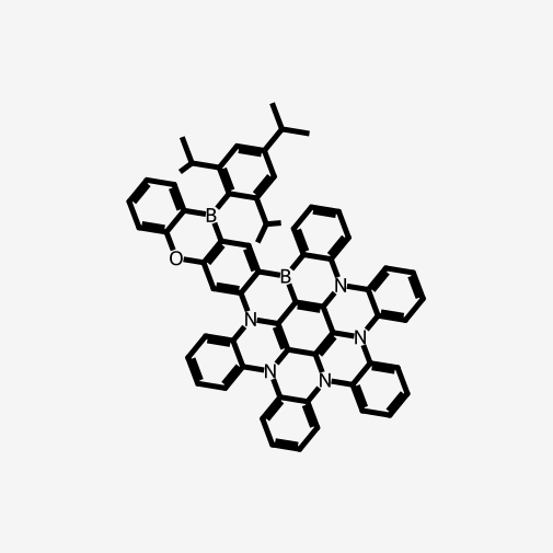 CC(C)c1cc(C(C)C)c(B2c3ccccc3Oc3cc4c(cc32)B2c3ccccc3-n3c5ccccc5n5c6ccccc6n6c7ccccc7n7c8ccccc8n-4c4c2c3c5c6c47)c(C(C)C)c1